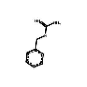 N=C(N)[N]Cc1ccccc1